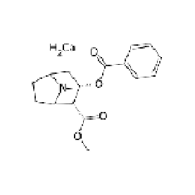 COC(=O)[C@@H]1C2CCC(C[C@@H]1OC(=O)c1ccccc1)N2C.[CaH2]